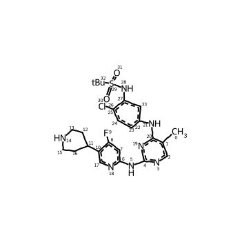 Cc1cnc(Nc2cc(F)c(C3CCNCC3)cn2)nc1Nc1ccc(Cl)c(NS(=O)(=O)C(C)(C)C)c1